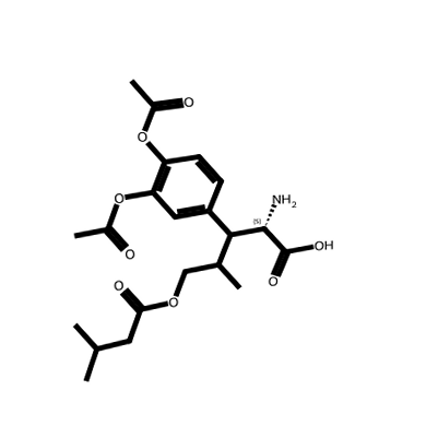 CC(=O)Oc1ccc(C(C(C)COC(=O)CC(C)C)[C@H](N)C(=O)O)cc1OC(C)=O